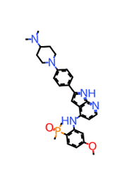 COc1ccc(P(C)(C)=O)c(Nc2ccnc3[nH]c(-c4ccc(N5CCC(N(C)C)CC5)cc4)cc23)c1